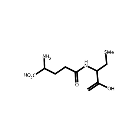 C=C(O)C(CSC)NC(=O)CCC(N)C(=O)O